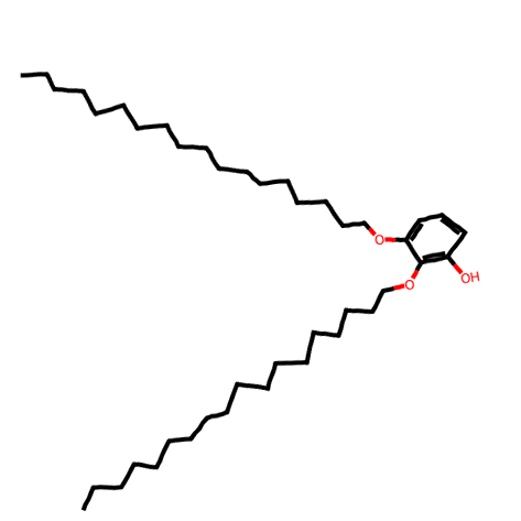 CCCCCCCCCCCCCCCCCCOc1cccc(O)c1OCCCCCCCCCCCCCCCCCC